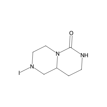 O=C1NCCC2CN(I)CCN12